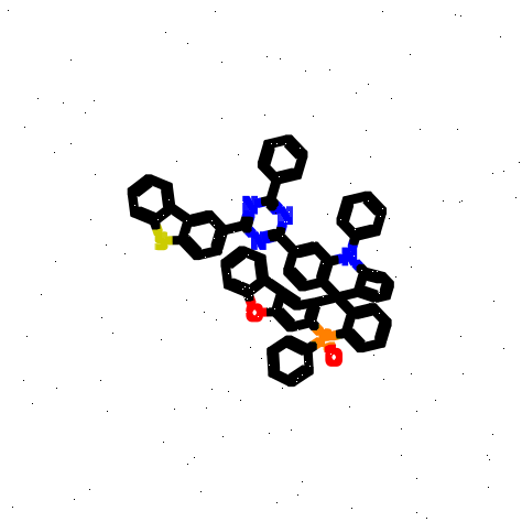 O=P1(c2ccccc2)c2ccccc2C2(c3ccccc3N(c3ccccc3)c3cc(-c4nc(-c5ccccc5)nc(-c5ccc6sc7ccccc7c6c5)n4)ccc32)c2cc3c(cc21)oc1ccccc13